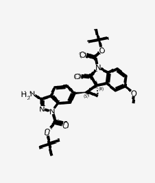 COc1ccc2c(c1)[C@]1(C[C@H]1c1ccc3c(N)nn(C(=O)OC(C)(C)C)c3c1)C(=O)N2C(=O)OC(C)(C)C